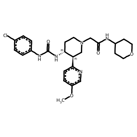 COc1ccc([C@@H]2CN(CC(=O)NC3CCOCC3)CC[C@H]2NC(=O)Nc2ccc(Cl)cc2)nc1